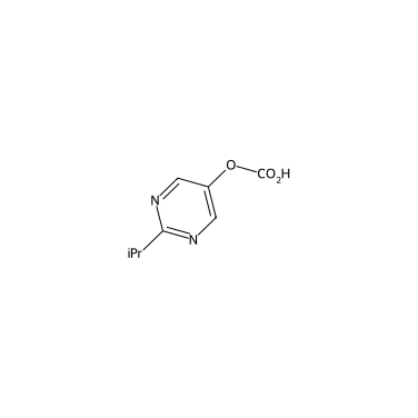 CC(C)c1ncc(OC(=O)O)cn1